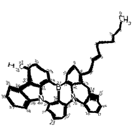 CCCCCCCCc1ccc2c3c1c1ccccc1n3-c1cccc3c1B2c1ccc(C)c2c4ccccc4n-3c12